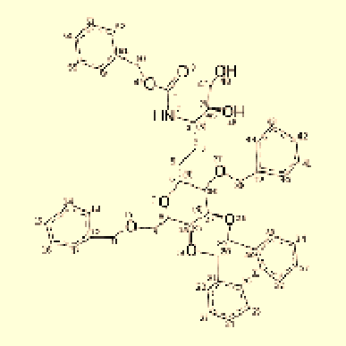 O=C(N[C@@H](CC[C@H]1OC(COCc2ccccc2)[C@H](OCc2ccccc2)[C@H](OCc2ccccc2)C1OCc1ccccc1)[C@H](O)CO)OCc1ccccc1